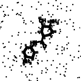 Nc1ccc(NC(=O)c2ccc(N)c(O)c2)cc1